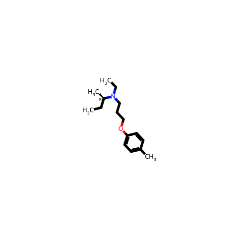 CC[C@@H](C)N(CC)CCCOc1ccc(C)cc1